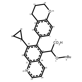 CCCCOC(C(=O)O)c1c(-c2ccc3c(c2)CCCO3)c(C2CC2)cc2ncccc12